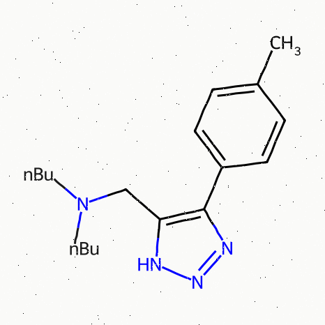 CCCCN(CCCC)Cc1[nH]nnc1-c1ccc(C)cc1